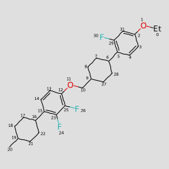 CCOc1ccc(C2CCC(COc3ccc(C4CCC(C)CC4)c(F)c3F)CC2)c(F)c1